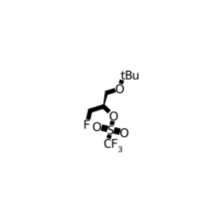 CC(C)(C)OC[C@H](CF)OS(=O)(=O)C(F)(F)F